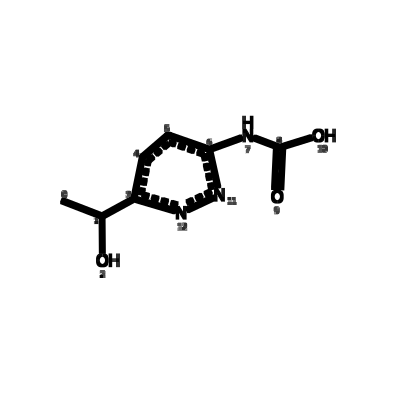 CC(O)c1ccc(NC(=O)O)nn1